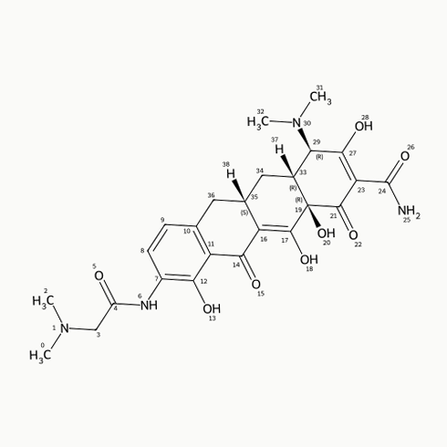 CN(C)CC(=O)Nc1ccc2c(c1O)C(=O)C1=C(O)[C@@]3(O)C(=O)C(C(N)=O)=C(O)[C@H](N(C)C)[C@H]3C[C@H]1C2